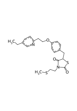 CCc1ccc(CCOc2ccc(CC3SC(=O)N(CCSC)C3=O)cc2)nc1